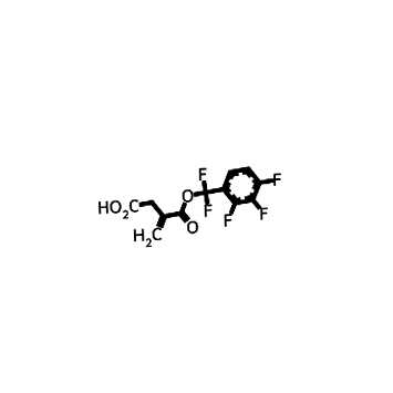 C=C(CC(=O)O)C(=O)OC(F)(F)c1ccc(F)c(F)c1F